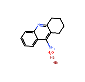 Br.Br.Nc1c2c(nc3ccccc13)CCCC2.O